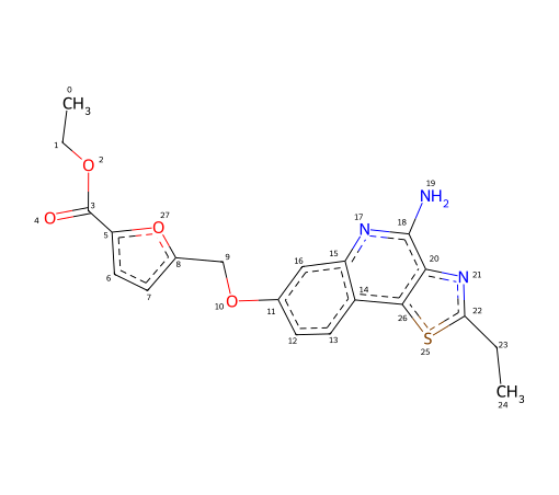 CCOC(=O)c1ccc(COc2ccc3c(c2)nc(N)c2nc(CC)sc23)o1